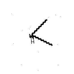 CCCCCCCCCCCCCCc1nc[nH]c1CCCCCCCCCCCCCC